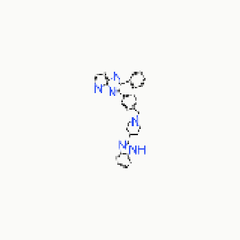 c1ccc(-c2nc3cccnc3nc2-c2ccc(CN3CCC(c4nc5ccccc5[nH]4)CC3)cc2)cc1